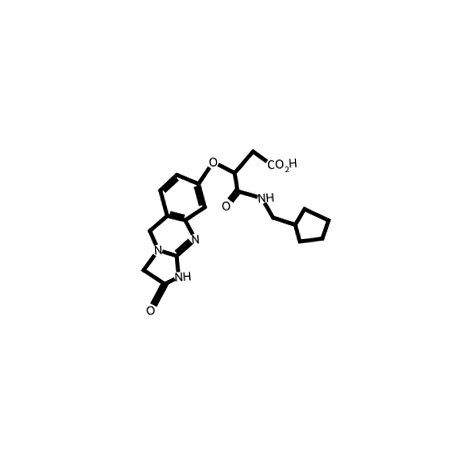 O=C(O)CC(Oc1ccc2c(c1)N=C1NC(=O)CN1C2)C(=O)NCC1CCCC1